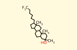 CC12CCC3C(CCC4C[C@@](C)(O)CCC43C)C1CCC2CCCCCC(F)(F)F